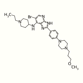 CCCN1CCC(Nc2c(Br)cnc3[nH]c(-c4ccc(N5CCN(CCCOC)CC5)cc4)nc23)CC1